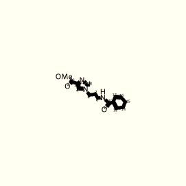 COC(=O)c1cn(CCCNC(=O)C2=CCCC=C2)nn1